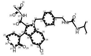 CC(C)NC(=O)NCc1ccc(Cn2c(C(=O)NS(C)(=O)=O)c(-c3ccc[nH]c3=O)c3cc(Cl)ccc32)cc1